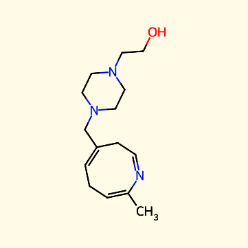 CC1=C/C/C=C(/CN2CCN(CCO)CC2)C/C=N\1